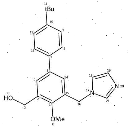 COc1c(CO)cc(-c2ccc(C(C)(C)C)cc2)cc1Cn1ccnc1